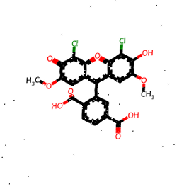 COc1cc2c(-c3cc(C(=O)O)ccc3C(=O)O)c3cc(OC)c(=O)c(Cl)c-3oc2c(Cl)c1O